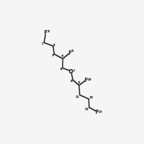 FCCCC(F)COCC(F)CCCF